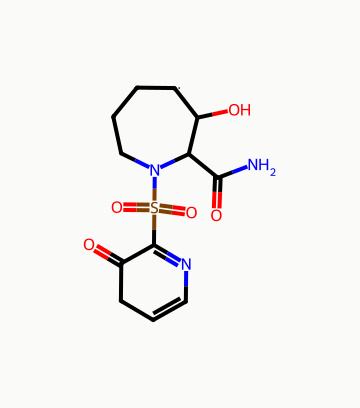 NC(=O)C1C(O)[CH]CCCN1S(=O)(=O)C1=NC=CCC1=O